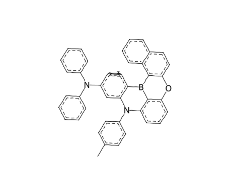 Cc1ccc(N2c3cccc4c3B(c3c(ccc5ccccc35)O4)c3c2cc(N(c2ccccc2)c2ccccc2)c2ccccc32)cc1